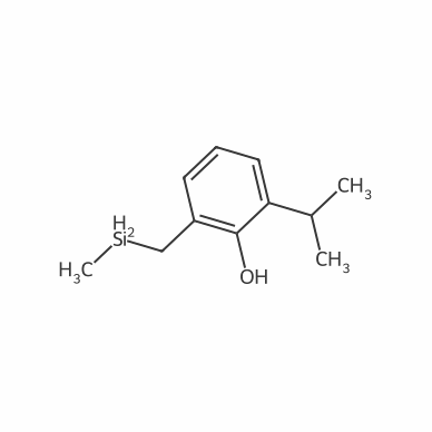 C[SiH2]Cc1cccc(C(C)C)c1O